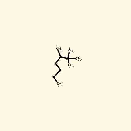 [CH2]C(CCCC)C(C)(C)C